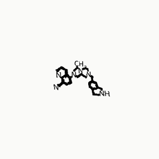 CC1CN(c2ccc(C#N)c3ncccc23)CC2CN(Cc3ccc4c(c3)CNCC4)CCN12